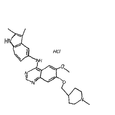 COc1cc2c(Nc3ccc4[nH]c(C)c(C)c4c3)ncnc2cc1OCC1CCN(C)CC1.Cl